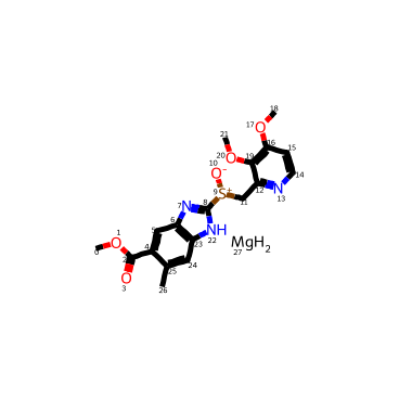 COC(=O)c1cc2nc([S+]([O-])Cc3nccc(OC)c3OC)[nH]c2cc1C.[MgH2]